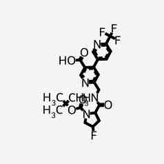 CC(C)(C)OC(=O)N1CC(F)CC1C(=O)NCc1cc(-c2ccc(C(F)(F)F)nc2)c(C(=O)O)cn1